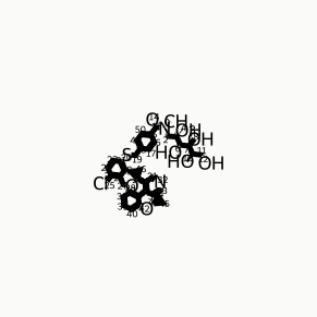 CN(C[C@H](O)C(O)C(O)[C@H](O)CO)C(=O)c1ccc(CSc2ccc(Cl)c(COC3(c4cnccc4-c4ccccc4OC4CC4)CC3)c2)cc1